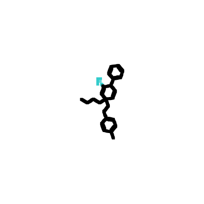 CCCCC1(CCc2ccc(C)cc2)C=CC(c2ccccc2)C(F)=C1